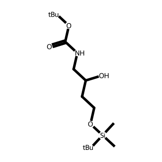 CC(C)(C)OC(=O)NCC(O)CCO[Si](C)(C)C(C)(C)C